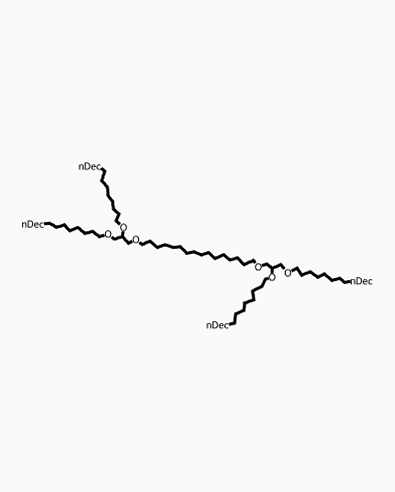 CCCCCCCCCCCCCCCCCCOCC(COCCCCCCCCCCCCCCCCOCC(COCCCCCCCCCCCCCCCCCC)OCCCCCCCCCCCCCCCCCC)OCCCCCCCCCCCCCCCCCC